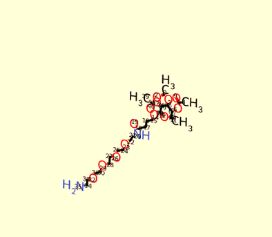 CC(=O)O[C@@H]1[C@@H](OC(C)=O)[C@H](C)O[C@@H](OCCCC(=O)NCCOCCOCCOCCOCCN)[C@@H]1OC(C)=O